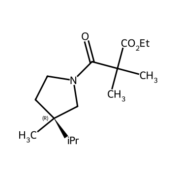 CCOC(=O)C(C)(C)C(=O)N1CC[C@](C)(C(C)C)C1